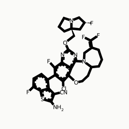 N#Cc1c(N)sc2c(F)ccc(-c3c(Cl)c4c5c(nc(OC[C@@]67CCCN6C[C@H](F)C7)nc5c3F)N3CC(=C(F)F)CCCC3CCO4)c12